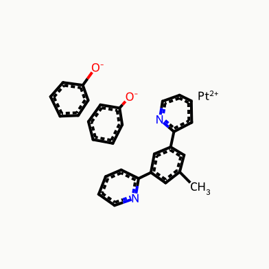 Cc1cc(-c2ccccn2)cc(-c2ccccn2)c1.[O-]c1ccccc1.[O-]c1ccccc1.[Pt+2]